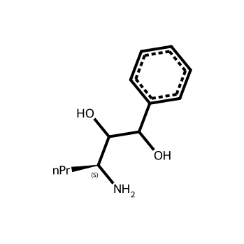 CCC[C@H](N)C(O)C(O)c1ccccc1